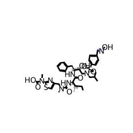 CC[C@H](C)[C@H](NC(=O)N(C)Cc1csc(N(C)C(=O)O)n1)C(=O)N[C@@H](Cc1ccccc1)[C@H](O)CN(CC(C)C)S(=O)(=O)c1ccc(/C=N/O)cc1